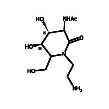 CC(=O)NC1C(=O)N(CCN)C(CO)[C@@H](O)[C@@H]1O